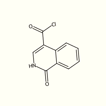 O=C(Cl)c1c[nH]c(=O)c2ccccc12